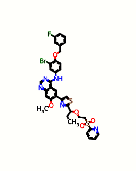 CCC(OCCS(=O)(=O)c1ccccn1)c1nc(-c2cc3c(Nc4ccc(OCc5cccc(F)c5)c(Br)c4)ncnc3cc2OC)cs1